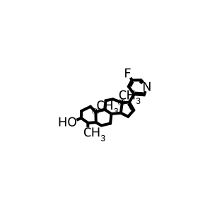 CC1C(O)CC[C@@]2(C)C1CCC1C2CC[C@]2(C)C(c3cncc(F)c3)=CCC12